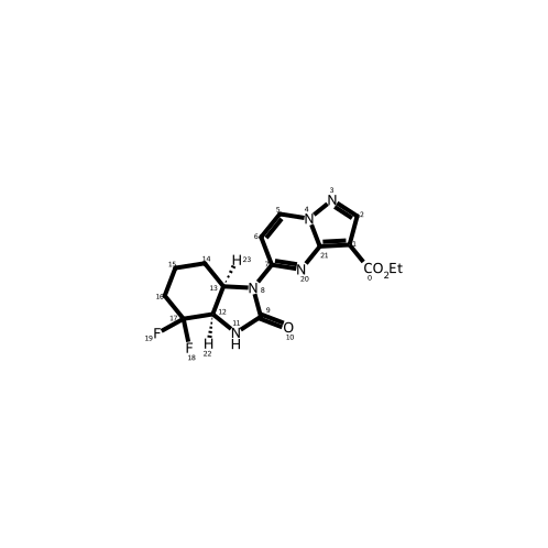 CCOC(=O)c1cnn2ccc(N3C(=O)N[C@@H]4[C@H]3CCCC4(F)F)nc12